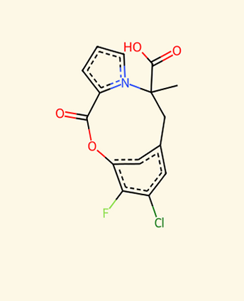 CC1(C(=O)O)Cc2cc(Cl)c(F)c(c2)OC(=O)c2cccn21